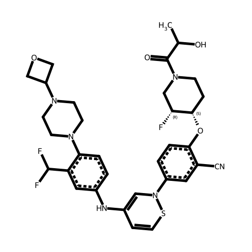 CC(O)C(=O)N1CC[C@H](Oc2ccc(N3C=C(Nc4ccc(N5CCN(C6COC6)CC5)c(C(F)F)c4)C=CS3)cc2C#N)[C@H](F)C1